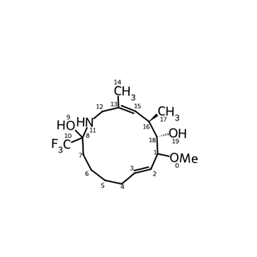 COC1/C=C/CCCCC(O)(C(F)(F)F)NC/C(C)=C\[C@@H](C)[C@@H]1O